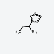 CCC(N)c1ccns1